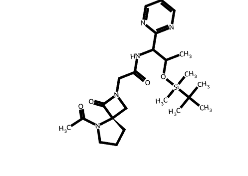 CC(=O)N1CCC[C@@]12CN(CC(=O)NC(c1ncccn1)C(C)O[Si](C)(C)C(C)(C)C)C2=O